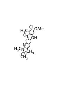 C=CC(=O)N(C)c1nc2c(cc1C)CCN(C(=O)c1c(O)cc(OC)c(Cl)c1C)C2